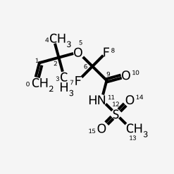 C=CC(C)(C)OC(F)(F)C(=O)NS(C)(=O)=O